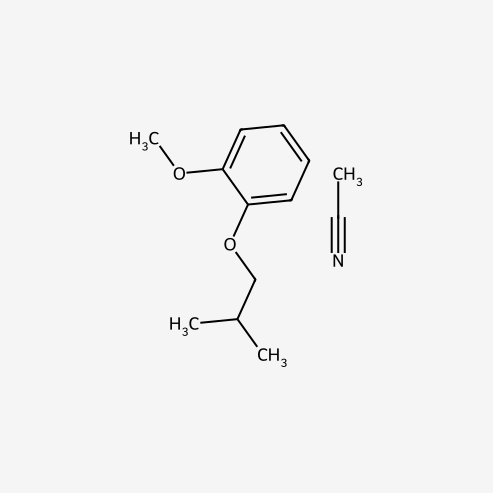 CC#N.COc1ccccc1OCC(C)C